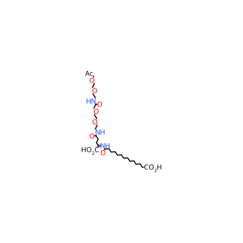 CC(=O)COCCOCCNC(=O)COCCOCCNC(=O)CC[C@H](NC(=O)CCCCCCCCCCCCC(=O)O)C(=O)O